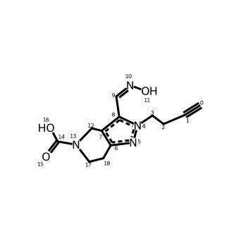 C#CCCn1nc2c(c1/C=N\O)CN(C(=O)O)CC2